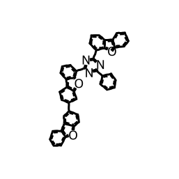 c1ccc(-c2nc(-c3cccc4c3oc3ccccc34)nc(-c3cccc4c3oc3cc(-c5ccc6oc7ccccc7c6c5)ccc34)n2)cc1